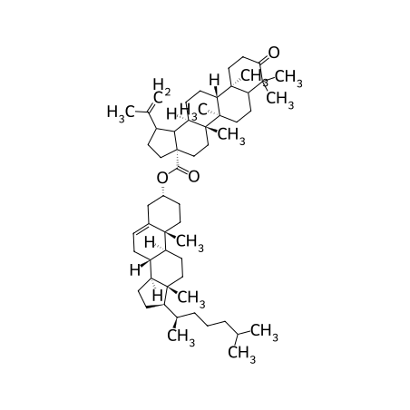 C=C(C)C1CC[C@]2(C(=O)O[C@@H]3CC[C@@]4(C)C(=CC[C@H]5[C@@H]6CC[C@H]([C@H](C)CCCC(C)C)[C@@]6(C)CC[C@@H]54)C3)CC[C@]3(C)[C@H](CC[C@@H]4[C@@]5(C)CCC(=O)C(C)(C)C5CC[C@]43C)C12